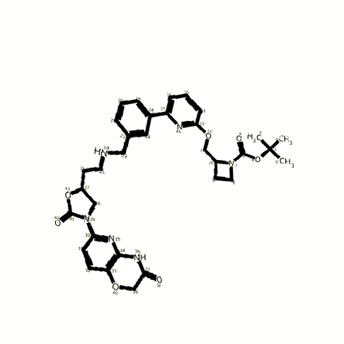 CC(C)(C)OC(=O)N1CCC1COc1cccc(-c2cccc(CNCCC3CN(c4ccc5c(n4)NC(=O)CO5)C(=O)O3)c2)n1